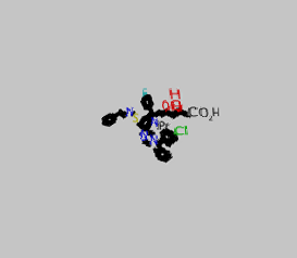 CC(C)n1c(/C=C/[C@@H](O)C[C@@H](O)CC(=O)O)c(-c2ccc(F)cc2)c2ccccc21.CN1CCN(C(c2ccccc2)c2ccc(Cl)cc2)CC1.S=C=NCCc1ccccc1